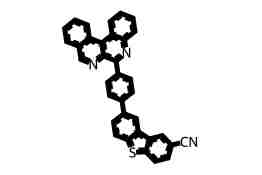 N#Cc1ccc2sc3ccc(-c4ccc(-c5nc6ccccc6c6c5ncc5ccccc56)cc4)cc3c2c1